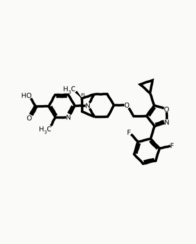 Cc1nc(N2C3CC(OCc4c(-c5c(F)cccc5F)noc4C4CC4)CC2[C@H](C)C3)ccc1C(=O)O